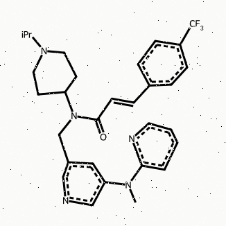 CC(C)N1CCC(N(Cc2cncc(N(C)c3ccccn3)c2)C(=O)C=Cc2ccc(C(F)(F)F)cc2)CC1